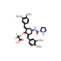 COc1ccc(/C=C2\CC(NC(=O)[C@@H]3CCCN3)C/C(=C\c3ccc(OC)c(OC)c3)C2=O)cc1OC.O=C(O)C(F)(F)F